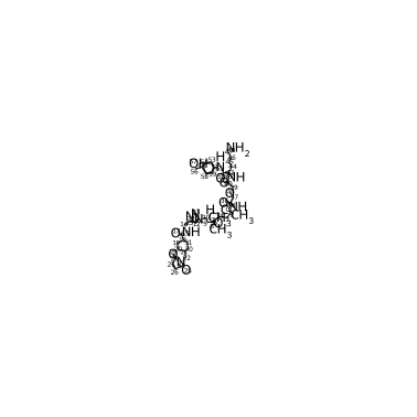 CC(C)(CCOC(C)(C)CCn1cc(CNC(=O)C2CCC(CN3C(=O)C=CC3=O)CC2)nn1)NC(=O)COCC(=O)NC(CCCCN)C(=O)Nc1ccc(CO)cc1